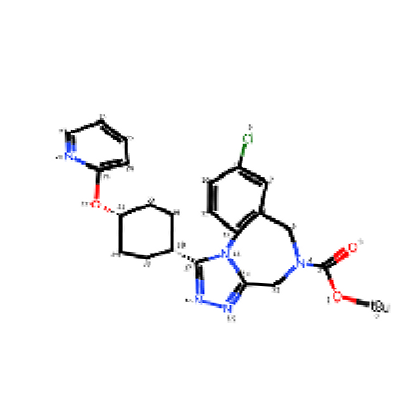 CC(C)(C)OC(=O)N1Cc2cc(Cl)ccc2-n2c(nnc2[C@H]2CC[C@@H](Oc3ccccn3)CC2)C1